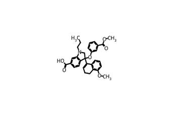 CCCN1CC(Oc2cccc(C(=O)OC)c2)(C2=CCCc3c(OC)cccc32)c2ccc(C(=O)O)cc21